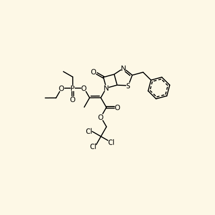 CCOP(=O)(CC)OC(C)=C(C(=O)OCC(Cl)(Cl)Cl)N1C(=O)C2N=C(Cc3ccccc3)SC21